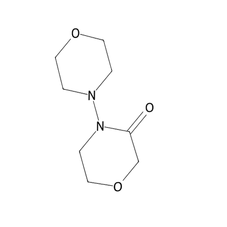 O=C1COCCN1N1CCOCC1